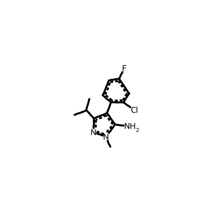 CC(C)c1nn(C)c(N)c1-c1ccc(F)cc1Cl